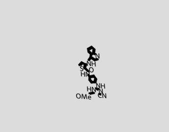 COCCN/C(=N\C#N)Nc1ccc(NC(=O)c2sccc2NCc2ccnc3ccccc23)cc1